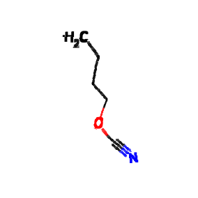 [CH2]CCCOC#N